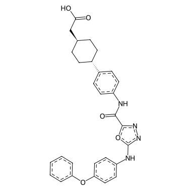 O=C(O)C[C@H]1CC[C@H](c2ccc(NC(=O)c3nnc(Nc4ccc(Oc5ccccc5)cc4)o3)cc2)CC1